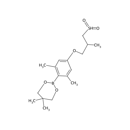 Cc1cc(OCC(C)C[SH](=O)=O)cc(C)c1B1OCC(C)(C)CO1